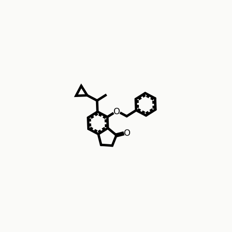 CC(c1ccc2c(c1OCc1ccccc1)C(=O)CC2)C1CC1